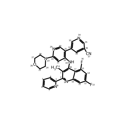 Cc1c(-c2ccccn2)nc2cc(F)cc(F)c2c1Nc1cc(N2CCOCC2)ncc1-c1cncc(C#N)c1